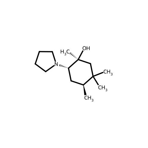 C[C@H]1C[C@H](N2CCCC2)[C@@](C)(O)CC1(C)C